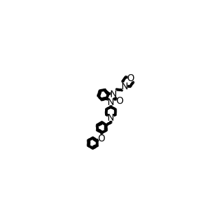 O=c1n(CCN2CCOCC2)c2ccccc2n1C1CCN(Cc2cccc(Oc3ccccc3)c2)CC1